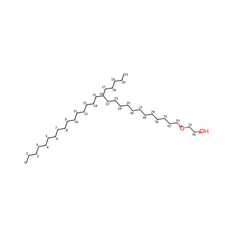 CCCCCCCCCCCCCCCCC(CCCCC)CCCCCCCCCCCCOCCO